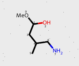 COC(O)CC(C)CN